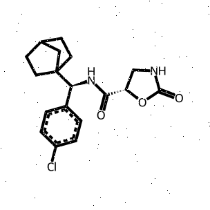 O=C1NC[C@@H](C(=O)N[C@@H](c2ccc(Cl)cc2)C23CCC(CC2)C3)O1